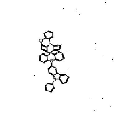 c1ccc(-n2c3ccccc3c3cc(B4c5ccccc5C5(c6ccccc64)c4ccccc4B4c6ccccc6Oc6cccc5c64)ccc32)cc1